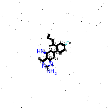 C=C/C=C(\C)c1cc(F)ccc1C1CC(=N)c2c(C)nc(N)nc2C1